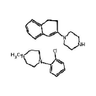 C1=C(N2CCNCC2)CCc2ccccc21.CN1CCN(c2ccccc2Cl)CC1